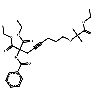 CCOC(=O)C(C)(C)OCCCC#CCC(NC(=O)c1ccccc1)(C(=O)OCC)C(=O)OCC